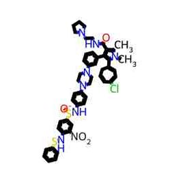 Cc1c(C(=O)NCCN2CCCC2)c(-c2cccc(N3CCN(c4ccc(N[S+]([O-])c5ccc(NSc6ccccc6)c([N+](=O)[O-])c5)cc4)CC3)c2)c(C2=CC=C(Cl)C=CC2)n1C